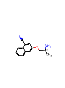 C[C@H](N)COc1cc(C#N)c2ccccc2c1